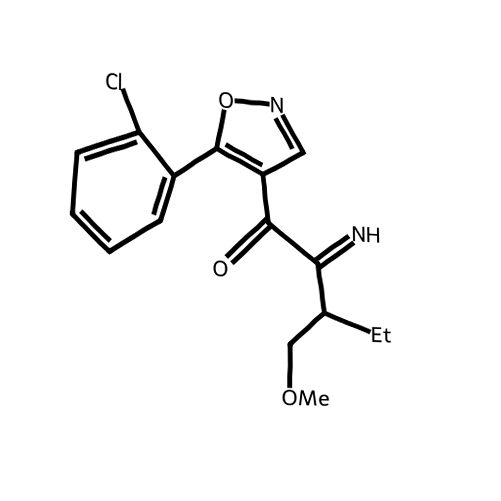 CCC(COC)C(=N)C(=O)c1cnoc1-c1ccccc1Cl